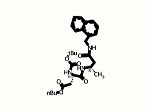 CCCCOC(=O)C[C@H](NC(=O)OC(C)(C)C)C(=O)N[C@@H](C)CC(=O)NCc1cccc2ccccc12